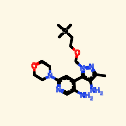 Cc1nn(COCC[Si](C)(C)C)c(-c2cc(N3CCOCC3)ncc2N)c1N